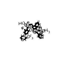 Cc1cc(N2CCOC[C@@H]2C(F)(F)F)cc(F)c1C(=O)N[C@@H](Cc1cc(F)c(-n2c(=O)c3ccncc3n(C)c2=O)c2ncccc12)C(=O)O